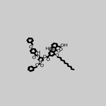 CCCCCCCCCCOc1cc(C(=O)O[C@@H]2CN(C(=O)OCc3ccccc3)C[C@H]2NC(=O)c2ccc(OCc3ccccc3)cc2)cc(O)c1C(=O)c1c(O)cccc1C(=O)O